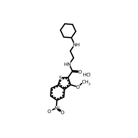 COc1c(C(=O)NCCNC2CCCCC2)sc2ccc([N+](=O)[O-])cc12.Cl